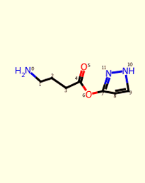 NCCCC(=O)Oc1cc[nH]n1